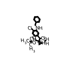 [2H]C([2H])([2H])OC(c1ccc(Cl)c(NCc2ccccc2)c1)C1(C(=O)OC(C)(C)C)CC1